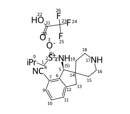 CC(C)C[S@+]([O-])N[C@@H]1c2c(C#N)cccc2CC12CCNCC2.O=C(O)C(F)(F)F